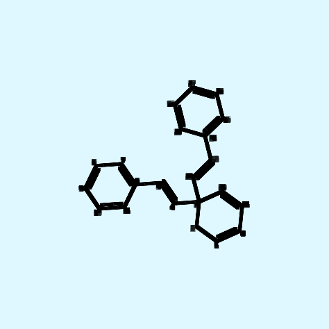 C1=CCC(C=Cc2ccccc2)(C=Cc2ccccc2)C=C1